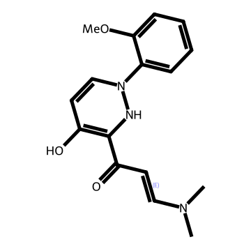 COc1ccccc1N1C=CC(O)=C(C(=O)/C=C/N(C)C)N1